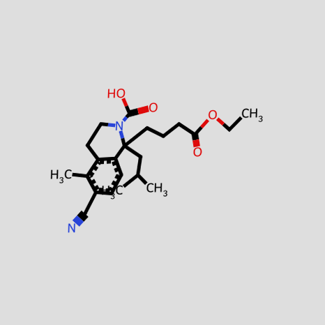 CCOC(=O)CCCC1(CC(C)C)c2ccc(C#N)c(C)c2CCN1C(=O)O